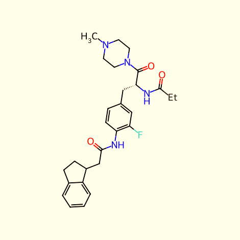 CCC(=O)N[C@H](Cc1ccc(NC(=O)CC2CCc3ccccc32)c(F)c1)C(=O)N1CCN(C)CC1